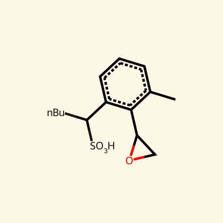 CCCCC(c1cccc(C)c1C1CO1)S(=O)(=O)O